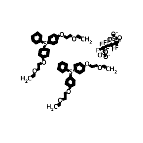 C=COCCOc1ccc([S+](c2ccccc2)c2ccc(OCCOC=C)cc2)cc1.C=COCCOc1ccc([S+](c2ccccc2)c2ccc(OCCOC=C)cc2)cc1.O=S(=O)([O-])C(F)(F)C(F)(F)C(F)(F)C(F)(F)S(=O)(=O)[O-]